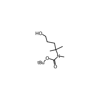 CN(C(=O)OC(C)(C)C)C(C)(C)CCCO